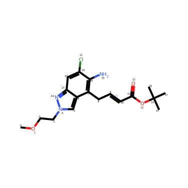 COCCn1cc2c(C/C=C/C(=O)OC(C)(C)C)c(N)c(Cl)cc2n1